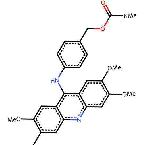 CNC(=O)OCc1ccc(Nc2c3cc(OC)c(C)cc3nc3cc(OC)c(OC)cc23)cc1